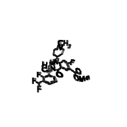 COC(=O)c1cc(C(=O)N[C@H](C)c2cccc(C(F)F)c2F)c(NC2CCN(C)CC2)cc1F